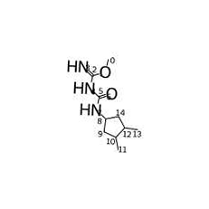 COC(=N)NC(=O)NC1CC(C)C(C)C1